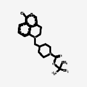 CC(C)(C)OC(=O)N1CCC(CN2CCc3cnc(Cl)c4cccc2c34)CC1